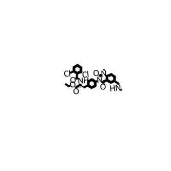 CCOC(=O)[C@H](Cc1ccc(-n2c(=O)c3cc(CNC)ccc3n(C)c2=O)cc1)NC(=O)c1c(Cl)cccc1Cl